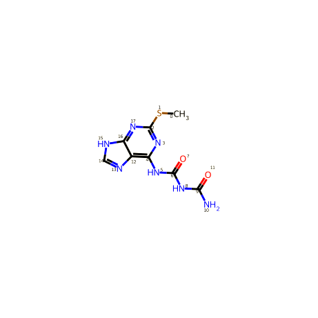 CSc1nc(NC(=O)NC(N)=O)c2nc[nH]c2n1